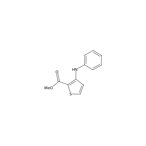 COC(=O)c1sccc1Nc1ccccc1